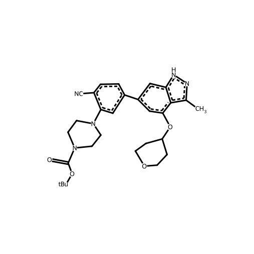 Cc1n[nH]c2cc(-c3ccc(C#N)c(N4CCN(C(=O)OC(C)(C)C)CC4)c3)cc(OC3CCOCC3)c12